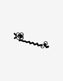 C=CC(=O)OCCCCCCCCCCC(C)O[Si](OC)(OCC)OCC